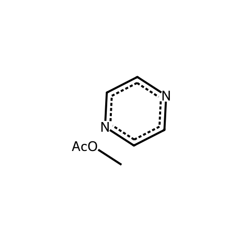 COC(C)=O.c1cnccn1